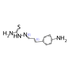 NC(=S)N/N=C/C=C/c1ccc(N)cc1